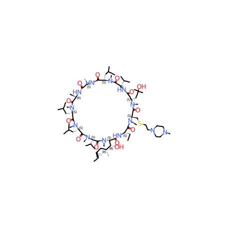 C/C=C/C[C@@H](C)[C@@H](O)[C@H]1C(=O)N[C@@H](CC)C(=O)N(C)[C@H](CSCCN2CCN(C)CC2)C(=O)N(C)[C@@H](CC(C)(C)O)C(=O)N[C@@H](C(C)C)C(=O)N(C)[C@@H](CC(C)C)C(=O)N[C@@H](C)C(=O)N[C@H](C)C(=O)N(C)[C@@H](CC(C)C)C(=O)N(C)[C@@H](CC(C)C)C(=O)N(C)[C@@H](C(C)C)C(=O)N1C